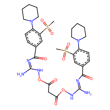 CS(=O)(=O)c1cc(C(=O)N=C(N)NOC(=O)CC(=O)ONC(N)=NC(=O)c2ccc(N3CCCCC3)c(S(C)(=O)=O)c2)ccc1N1CCCCC1